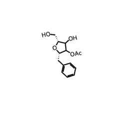 CC(=O)OC1C(O)[C@@H](CO)O[C@H]1Cc1ccccc1